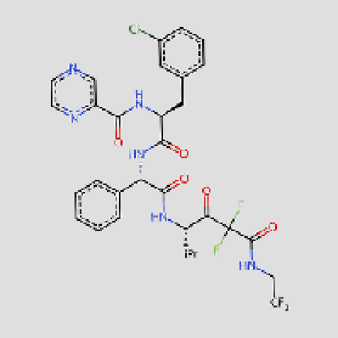 CC(C)[C@H](NC(=O)[C@@H](NC(=O)[C@H](Cc1cccc(Cl)c1)NC(=O)c1cnccn1)c1ccccc1)C(=O)C(F)(F)C(=O)NCC(F)(F)F